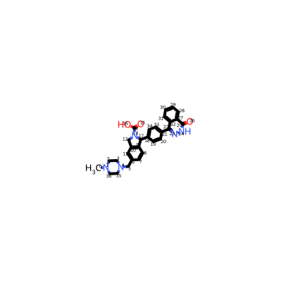 CN1CCN(Cc2ccc3c(c2)CN(C(=O)O)C3c2ccc(-c3n[nH]c(=O)c4ccccc34)cc2)CC1